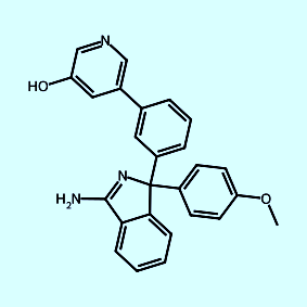 COc1ccc(C2(c3cccc(-c4cncc(O)c4)c3)N=C(N)c3ccccc32)cc1